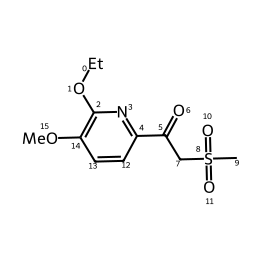 CCOc1nc(C(=O)CS(C)(=O)=O)ccc1OC